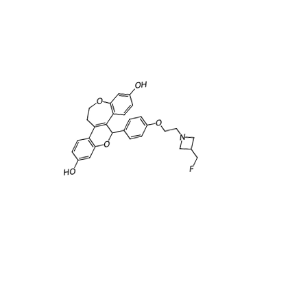 Oc1ccc2c(c1)OC(c1ccc(OCCN3CC(CF)C3)cc1)C1=C2CCOc2cc(O)ccc21